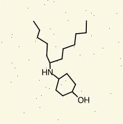 CCCCCCC(CCCCC)NC1CCC(O)CC1